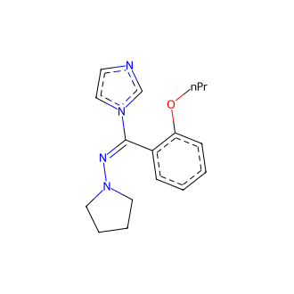 CCCOc1ccccc1/C(=N\N1CCCC1)n1ccnc1